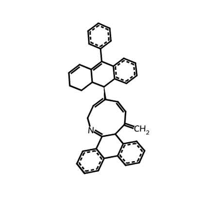 C=C1/C=C\C([C@@H]2c3ccccc3C(c3ccccc3)=C3C=CCCC32)=C/C/N=C2/c3ccccc3-c3ccccc3C12